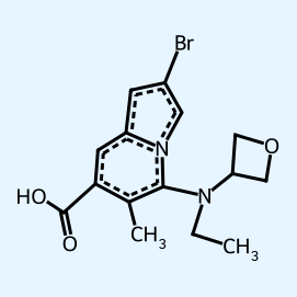 CCN(c1c(C)c(C(=O)O)cc2cc(Br)cn12)C1COC1